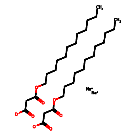 CCCCCCCCCCCCOC(=O)CC(=O)[O-].CCCCCCCCCCCCOC(=O)CC(=O)[O-].[Na+].[Na+]